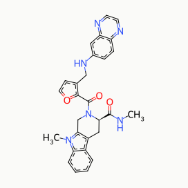 CNC(=O)[C@H]1Cc2c(n(C)c3ccccc23)CN1C(=O)c1occc1CNc1ccc2nccnc2c1